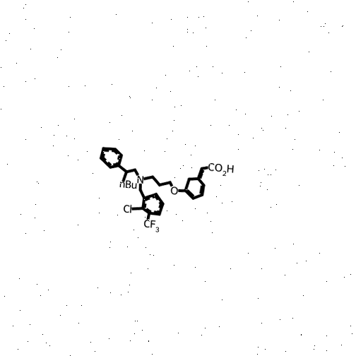 CCCCC(CN(CCCOC1=CC=CC(=CC(=O)O)C1)Cc1cccc(C(F)(F)F)c1Cl)c1ccccc1